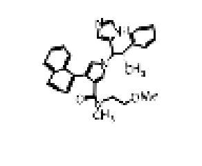 COCCN(C)C(=O)c1cn(C(c2cnc[nH]2)[C@@H](C)c2ccccc2)cc1-c1cccc2ccccc12